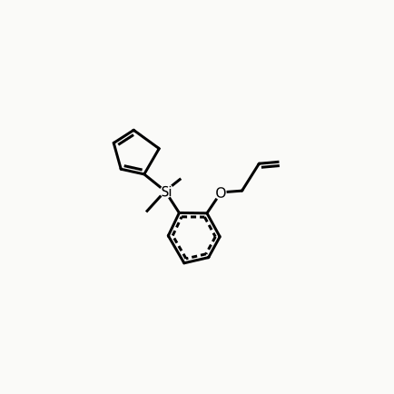 C=CCOc1ccccc1[Si](C)(C)C1=CC=CC1